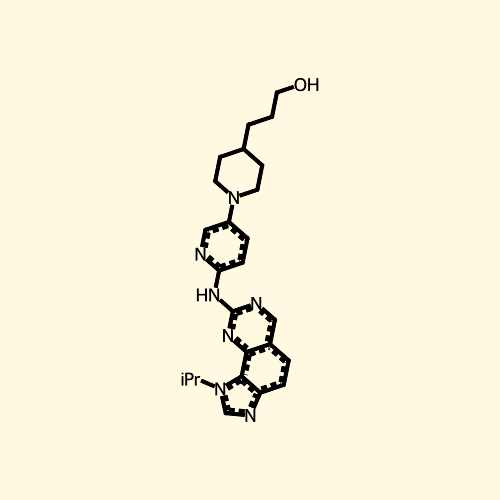 CC(C)n1cnc2ccc3cnc(Nc4ccc(N5CCC(CCCO)CC5)cn4)nc3c21